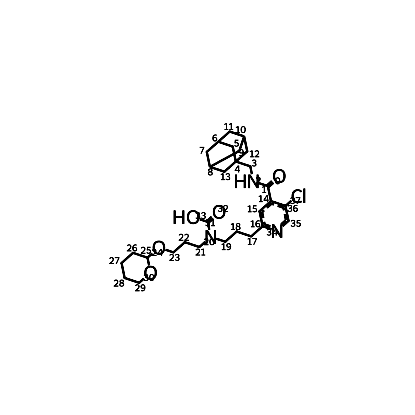 O=C(NCC12CC3CC(CC(C3)C1)C2)c1cc(CCCN(CCCOC2CCCCO2)C(=O)O)ncc1Cl